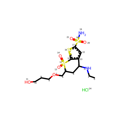 CCNC1CC(COCCCO)S(=O)(=O)c2sc(S(N)(=O)=O)cc21.Cl